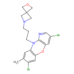 Cc1cc2c(cc1Br)Oc1cc(Br)cnc1N2CCCN1CC2(COC2)C1